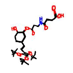 C[Si](C)(C)O[Si](CCC1CCC(O)C(OC(=O)CCNC(=O)C=CC(=O)O)C1)(O[Si](C)(C)C)O[Si](C)(C)C